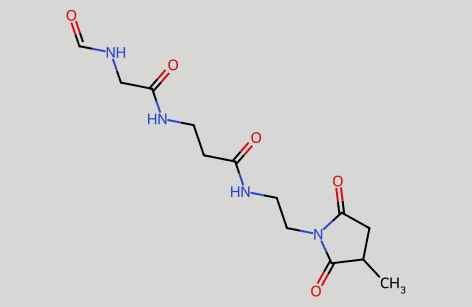 CC1CC(=O)N(CCNC(=O)CCNC(=O)CNC=O)C1=O